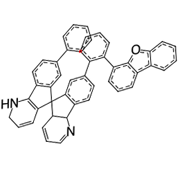 C1=CC2C(N=C1)c1ccc(-c3ccccc3-c3cccc4c3oc3ccccc34)cc1C21C2=C(NCC=C2)c2ccc(-c3ccccc3)cc21